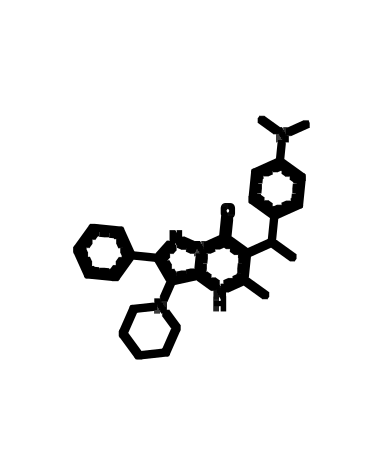 Cc1[nH]c2c(N3CCCCC3)c(-c3ccccc3)nn2c(=O)c1C(C)c1ccc(N(C)C)cc1